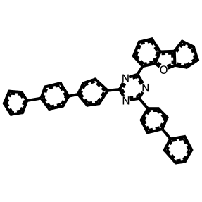 c1ccc(-c2ccc(-c3ccc(-c4nc(-c5ccc(-c6ccccc6)cc5)nc(-c5cccc6c5oc5ccccc56)n4)cc3)cc2)cc1